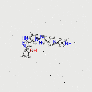 C[C@@H]1c2c([nH]c3nnc(-c4ccccc4O)cc23)CCN1c1ncc(C2CCN(C3CC4(CNC4)C3)CC2)cn1